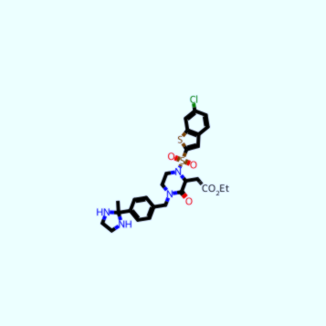 CCOC(=O)CC1C(=O)N(Cc2ccc(C3(C)NCCN3)cc2)CCN1S(=O)(=O)c1cc2ccc(Cl)cc2s1